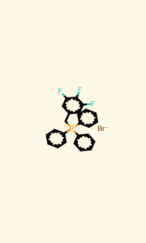 Fc1cc(C[P+](c2ccccc2)(c2ccccc2)c2ccccc2)cc(F)c1F.[Br-]